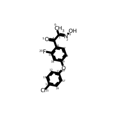 CC(=NO)C(=O)c1ccc(Oc2ccc(Cl)cc2)cc1F